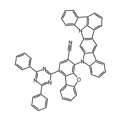 N#Cc1cc(-c2nc(-c3ccccc3)nc(-c3ccccc3)n2)c2c(oc3ccccc32)c1-n1c2ccccc2c2cc3c4cccc5c6ccccc6n(c3cc21)c54